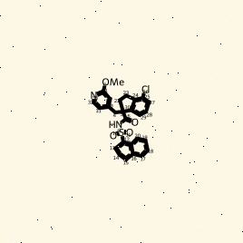 COc1cc(CC2(C(=O)NS(=O)(=O)c3cccc4ccccc34)CCc3c(Cl)cccc32)ccn1